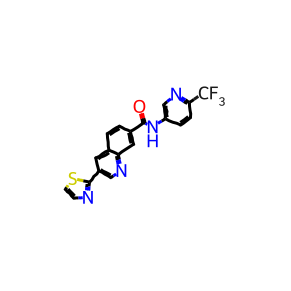 O=C(Nc1ccc(C(F)(F)F)nc1)c1ccc2cc(-c3nccs3)cnc2c1